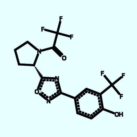 O=C(N1CCC[C@H]1c1nc(-c2ccc(O)c(C(F)(F)F)c2)no1)C(F)(F)F